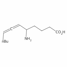 CCCCC=C=CC(N)CCCC(=O)O